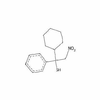 O=[N+]([O-])CC(S)(c1ccccc1)C1CCCCC1